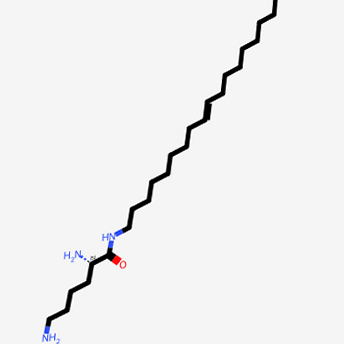 CCCCCCCCC=CCCCCCCCCNC(=O)[C@@H](N)CCCCN